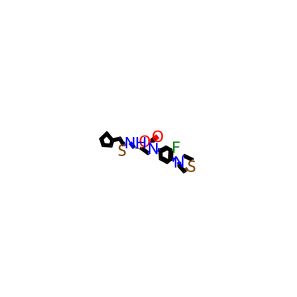 O=C1O[C@@H](CNC(=S)CC2CCCC2)CN1c1ccc(N2CCSCC2)c(F)c1